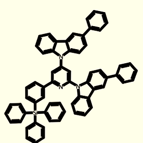 c1ccc(-c2ccc3c(c2)c2ccccc2n3-c2cc(-c3cccc([Si](c4ccccc4)(c4ccccc4)c4ccccc4)c3)nc(-n3c4ccccc4c4cc(-c5ccccc5)ccc43)c2)cc1